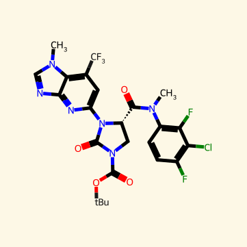 CN(C(=O)[C@@H]1CN(C(=O)OC(C)(C)C)C(=O)N1c1cc(C(F)(F)F)c2c(ncn2C)n1)c1ccc(F)c(Cl)c1F